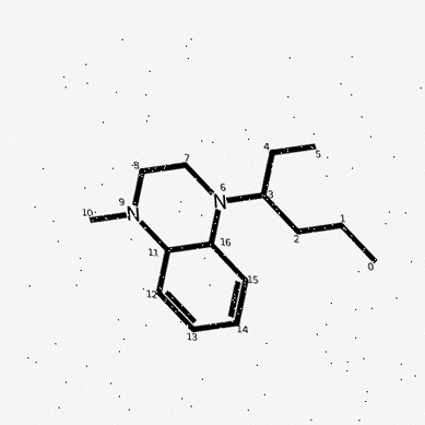 CCCC(CC)N1CCN(C)C2C=CC=CC21